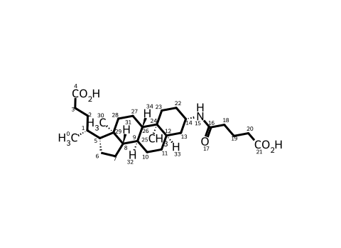 C[C@H](CCC(=O)O)[C@H]1CC[C@H]2[C@@H]3CC[C@@H]4C[C@@H](NC(=O)CCCC(=O)O)CC[C@]4(C)[C@H]3CC[C@]12C